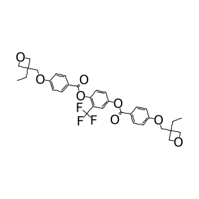 CCC1(COc2ccc(C(=O)Oc3ccc(OC(=O)c4ccc(OCC5(CC)COC5)cc4)c(C(F)(F)F)c3)cc2)COC1